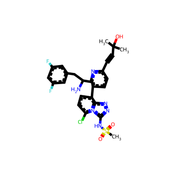 CC(C)(O)C#Cc1ccc(-c2ccc(Cl)n3c(NS(C)(=O)=O)nnc23)c(C(N)Cc2cc(F)cc(F)c2)n1